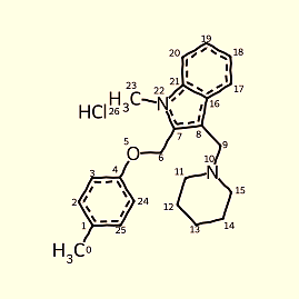 Cc1ccc(OCc2c(CN3CCCCC3)c3ccccc3n2C)cc1.Cl